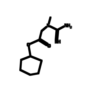 CN(CC(=O)OC1CCCCC1)C(=N)N